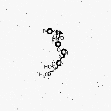 COCCN(Cc1ccc(-c2cc3nccc(Oc4ccc(NC(=O)C5(C(=O)Nc6ccc(F)cc6)CC5)c(F)c4)c3s2)nc1)C(=O)O